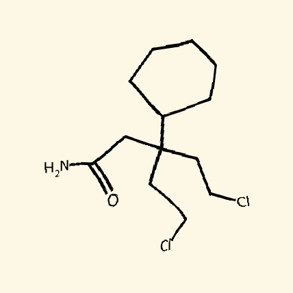 NC(=O)CC(CCCl)(CCCl)C1CCCCC1